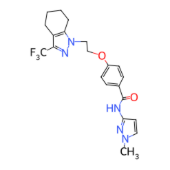 Cn1ccc(NC(=O)c2ccc(OCCn3nc(C(F)(F)F)c4c3CCCC4)cc2)n1